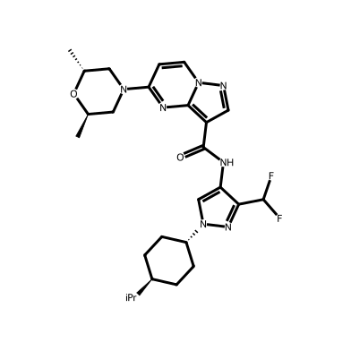 CC(C)[C@H]1CC[C@H](n2cc(NC(=O)c3cnn4ccc(N5C[C@@H](C)O[C@H](C)C5)nc34)c(C(F)F)n2)CC1